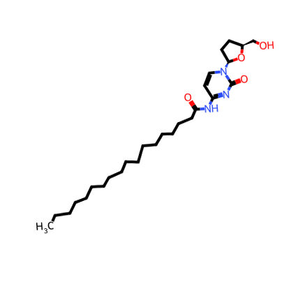 CCCCCCCCCCCCCCCCCC(=O)Nc1ccn([C@H]2CC[C@@H](CO)O2)c(=O)n1